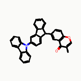 Cc1coc2ccc(C3c4ccccc4-c4cc(-n5c6ccccc6c6ccccc65)ccc43)cc2c1=O